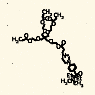 C=CC(=O)OCCOCC(COCCOC(=O)C=C)(COCCOC(=O)C=C)COCCOC(=O)CCN1CCN(c2ccc(C(=O)C(CC)(CC)N(C)C)cc2)CC1